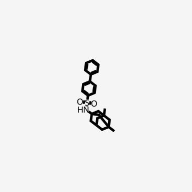 CC12CC3CC(C)(C1)CC(NS(=O)(=O)c1ccc(-c4ccccc4)cc1)(C3)C2